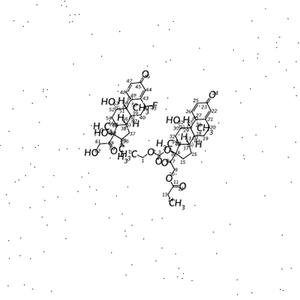 CCOC(=O)O[C@]1(C(=O)COC(=O)CC)CC[C@H]2[C@@H]3CCC4=CC(=O)C=C[C@]4(C)[C@H]3[C@@H](O)C[C@@]21C.C[C@@H]1C[C@H]2[C@@H]3C[C@H](F)C4=CC(=O)C=C[C@]4(C)[C@H]3[C@@H](O)C[C@]2(C)[C@@]1(O)C(=O)CO